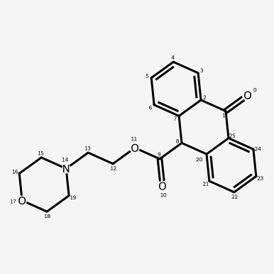 O=C1c2ccccc2C(C(=O)OCCN2CCOCC2)c2ccccc21